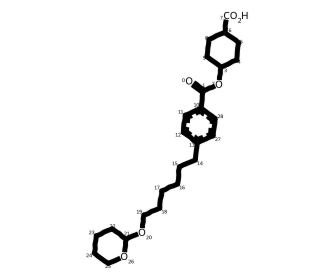 O=C(OC1CCC(C(=O)O)CC1)c1ccc(CCCCCCOC2CCCCO2)cc1